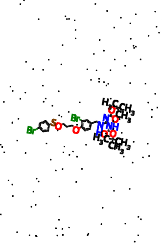 CC(C)(C)OC(=O)N=C(NCc1ccc(OCCCOSc2ccc(Br)cc2)c(Br)c1)NC(=O)OC(C)(C)C